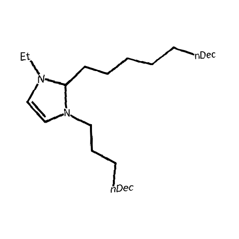 CCCCCCCCCCCCCCCC1N(CC)C=CN1CCCCCCCCCCCCC